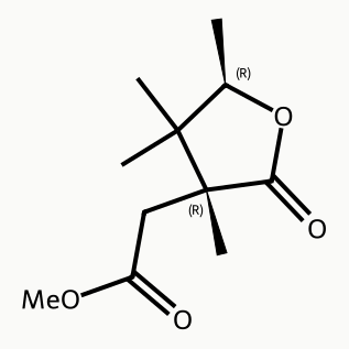 COC(=O)C[C@@]1(C)C(=O)O[C@H](C)C1(C)C